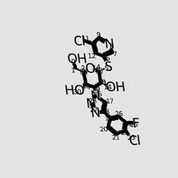 OC[C@H]1O[C@H](Sc2cncc(Cl)c2)[C@H](O)[C@@H](n2cc(-c3ccc(Cl)c(F)c3)nn2)[C@H]1O